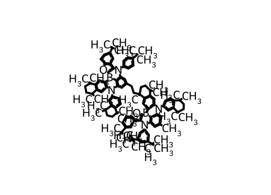 Cc1cc2c3c(c1)N(c1cc(C(C)(C)C)cc(C(C)(C)C)c1)c1c(oc4ccc(C(C)(C)C)cc14)B3c1cc3c(cc1N2c1ccc2c(c1)C(C)(C)CCC2(C)C)C(C)(C)CCC3(C)CCc1cc2c3c(c1)N(c1ccc(C(C)(C)C)cc1)c1c(oc4ccc(C(C)(C)C)cc14)B3c1cc3c(cc1N2c1ccc2c(c1)C(C)(C)CCC2(C)C)C(C)(C)CCC3(C)C